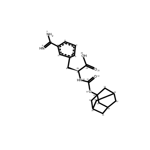 N=C(N)c1cccc(C[C@H](NC(=O)OC23CC4CC(CC(C4)C2)C3)C(=O)O)c1